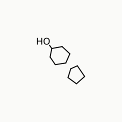 C1CCCC1.OC1CCCCC1